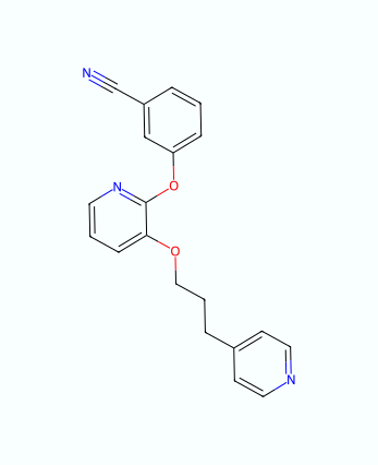 N#Cc1cccc(Oc2ncccc2OCCCc2ccncc2)c1